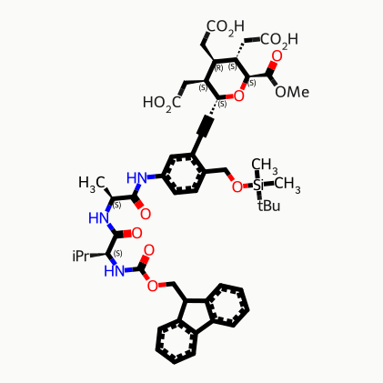 COC(=O)[C@H]1O[C@H](C#Cc2cc(NC(=O)[C@H](C)NC(=O)[C@@H](NC(=O)OCC3c4ccccc4-c4ccccc43)C(C)C)ccc2CO[Si](C)(C)C(C)(C)C)[C@@H](CC(=O)O)[C@@H](CC(=O)O)[C@@H]1CC(=O)O